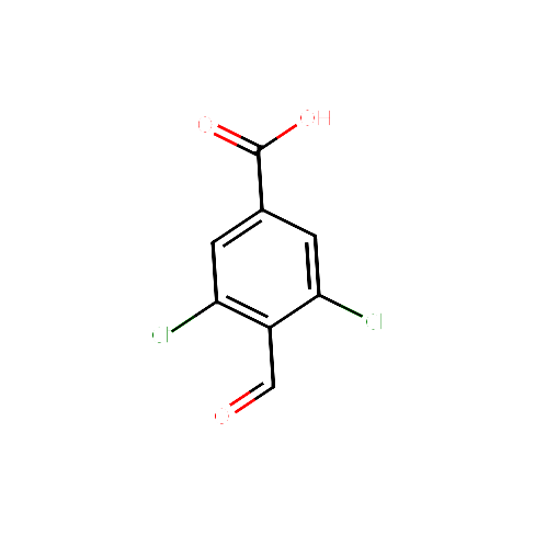 O=Cc1c(Cl)cc(C(=O)O)cc1Cl